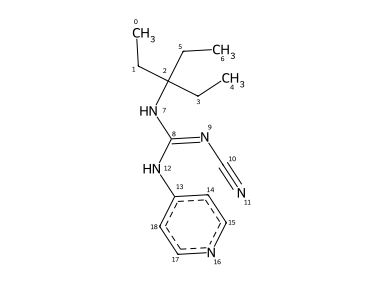 CCC(CC)(CC)NC(=NC#N)Nc1ccncc1